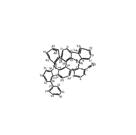 N#Cc1ccccc1-n1c2ccccc2c2cccc(-c3cccc4c5c(-c6ccccc6)cccc5n(-c5ccccc5)c34)c21